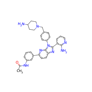 CC(=O)Nc1cccc(-c2ccc3nc(-c4cccnc4N)n(-c4ccc(CN5CCC(N)CC5)cc4)c3n2)c1